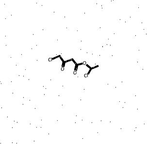 CC(Cl)OC(=O)CC(=O)CCl